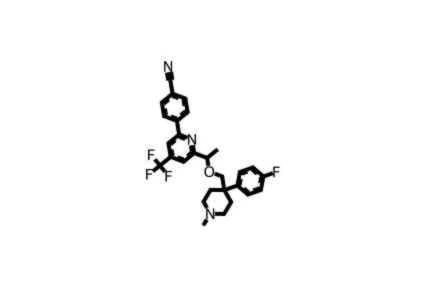 CC(OCC1(c2ccc(F)cc2)CCN(C)CC1)c1cc(C(F)(F)F)cc(-c2ccc(C#N)cc2)n1